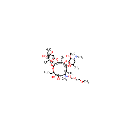 CCC1OC(=O)[C@H](C)[C@@H](O[C@H]2CC(C)(OC)[C@@H](O)C(C)O2)[C@H](C)[C@@H](O[C@@H]2OC(C)CC(N(C)C)C2O)[C@](C)(O)C[C@@H](C)/C(=N\OCOCCOC)[C@H](C)[C@@H](O)[C@@H]1O